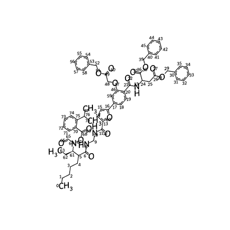 CCCCCC(C(=O)NCNC(=O)c1ccc(-c2ccc(C(=O)NC(CC(=O)OCc3ccccc3)C(=O)OCc3ccccc3)c(OCC(=O)OCc3ccccc3)c2)o1)[C@@H](CC)N(C=O)OC(=O)c1ccccc1C(C)C